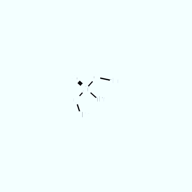 CC(C)[O][Zr](=[O])([O]C(C)C)[CH](C)C